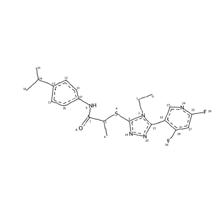 CCn1c(SC(C)C(=O)Nc2ccc(C(C)C)cc2)nnc1-c1cnc(F)cc1F